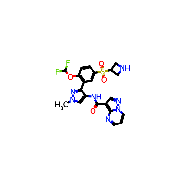 Cn1cc(NC(=O)c2cnn3cccnc23)c(-c2cc(S(=O)(=O)C3CNC3)ccc2OC(F)F)n1